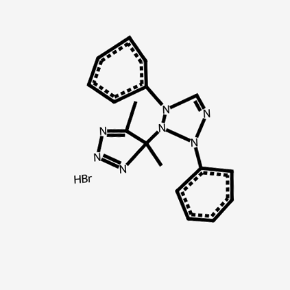 Br.CC1=NN=NC1(C)N1N(c2ccccc2)C=NN1c1ccccc1